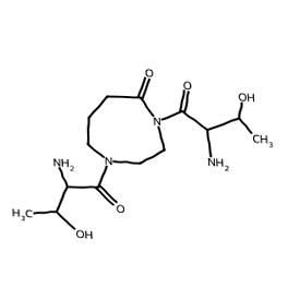 CC(O)C(N)C(=O)N1CCCC(=O)N(C(=O)C(N)C(C)O)CC1